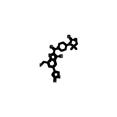 CC1(C)COC(=O)N1C1CCN(C(=O)c2nc3c(CF)cc(-c4cn[nH]c4)cn3c2Cl)CC1